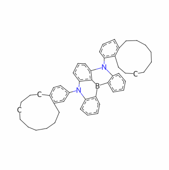 c1ccc2c(c1)B1c3ccccc3N(c3cccc4c3CCCCCCCCC4)c3cccc(c31)N2c1ccc2c(c1)CCCCCCCCCC2